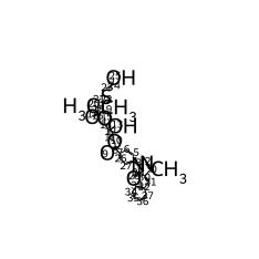 CC1=NN(c2ccc(C(=O)OCC(O)COC(=O)C(C)(C)CSCCO)cc2)C(=O)/C1=C\c1ccccc1